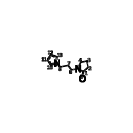 O=C1CCCN1CCCn1cccc1